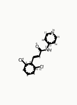 O=C(C=Cc1c(Cl)cccc1Cl)Nc1ccncc1